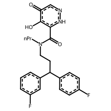 CCCN(CCC(c1ccc(F)cc1)c1cccc(F)c1)C(=O)c1[nH]ncc(=O)c1O